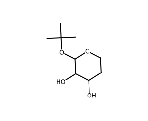 CC(C)(C)OC1OCCC(O)C1O